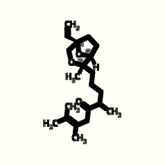 C=C[C@@]12CC[C@@H](O1)[C@](C)(CCCC(C)C(=O)CC(C)=C(C)C)OC2